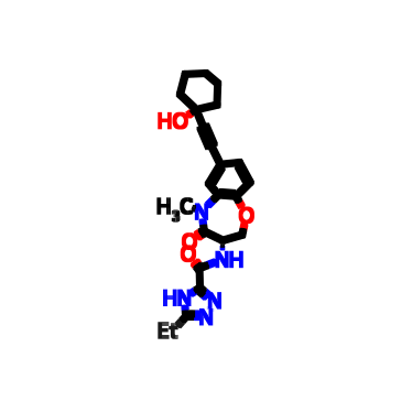 CCc1nnc(C(=O)N[C@H]2COc3ccc(C#CC4(O)CCCCC4)cc3N(C)C2=O)[nH]1